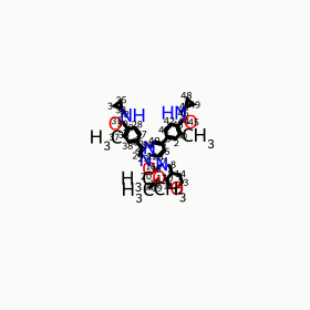 Cc1cc(-c2cc(N(CC3CCOCC3)C(=O)OC(C)(C)C)c3ncc(-c4ccc(C(=O)NC5CC5)c(C)c4)n3c2)ccc1C(=O)NC1CC1